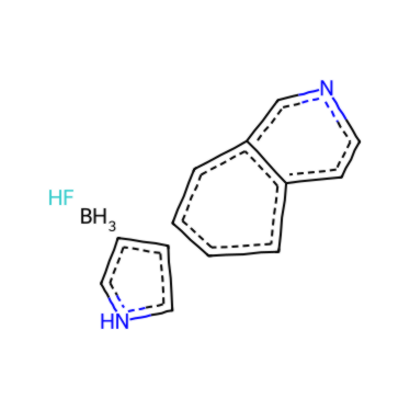 B.F.c1cc[nH]c1.c1ccc2cnccc2c1